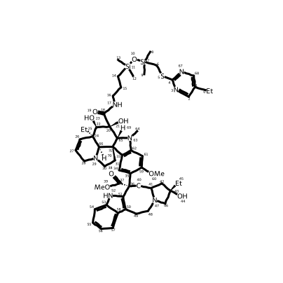 CCc1cnc(SC[Si](C)(C)O[Si](C)(C)CCCNC(=O)[C@@]2(O)[C@H](O)[C@]3(CC)C=CCN4CC[C@@]5(c6cc([C@@]7(C(=O)OC)CC8C[C@@](O)(CC)CN8CCc8c7[nH]c7ccccc87)c(OC)cc6N(C)[C@@H]25)[C@@H]43)nc1